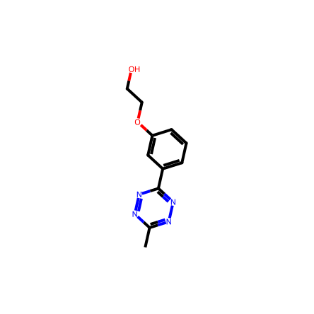 Cc1nnc(-c2cccc(OCCO)c2)nn1